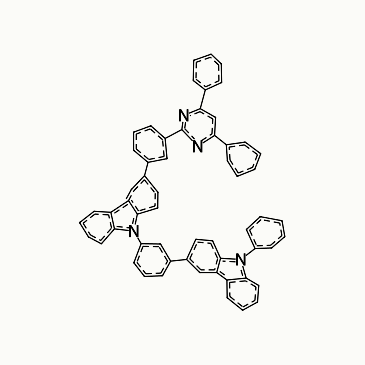 c1ccc(-c2cc(-c3ccccc3)nc(-c3cccc(-c4ccc5c(c4)c4ccccc4n5-c4cccc(-c5ccc6c(c5)c5ccccc5n6-c5ccccc5)c4)c3)n2)cc1